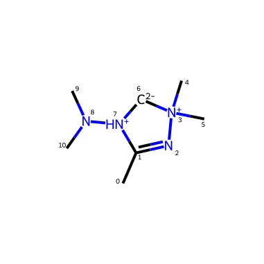 CC1=N[N+](C)(C)[C-2][NH+]1N(C)C